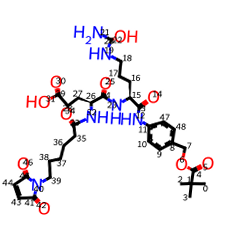 CC(C)(C)C(=O)OCc1ccc(NC(=O)[C@H](CCCNC(N)O)NC(=O)[C@H](CCC(=O)O)NC(=O)CCCCCN2C(=O)C=CC2=O)cc1